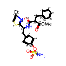 CCc1csc(C(Cc2ccc(OS(N)(=O)=O)cc2)NC(=O)C(Cc2ccccc2)C(=O)OC)n1